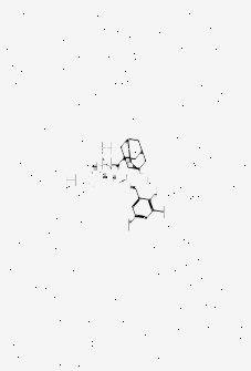 CS(=O)(=O)NC(=O)C12CC3CC(CC(OC(=O)c4cc(I)cc(I)c4I)(C3)C1)C2